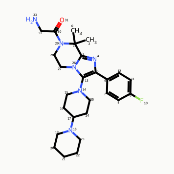 CC1(C)c2nc(-c3ccc(F)cc3)c(N3CCC(N4CCCCC4)CC3)n2CCN1C(=O)CN